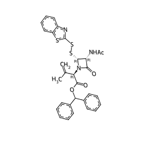 C=C(C)[C@H](C(=O)OC(c1ccccc1)c1ccccc1)N1C(=O)[C@@H](NC(C)=O)[C@H]1SSc1nc2ccccc2s1